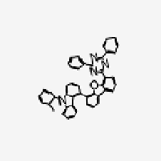 CC1C=CC=CC1n1c2ccccc2c2c(-c3cccc4c3oc3c(-c5nc(-c6ccccc6)nc(-c6ccccc6)n5)cccc34)cccc21